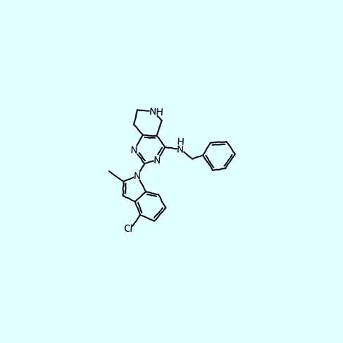 Cc1cc2c(Cl)cccc2n1-c1nc2c(c(NCc3ccccc3)n1)CNCC2